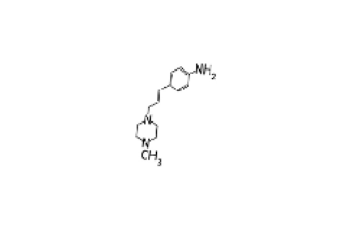 CN1CCN(CC=Cc2ccc(N)cc2)CC1